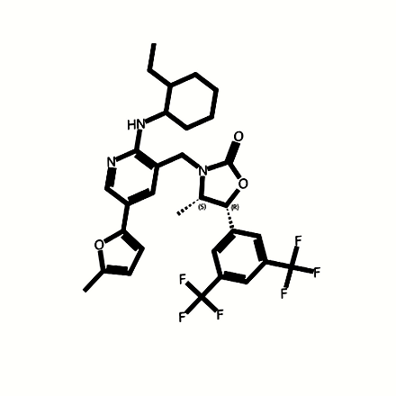 CCC1CCCCC1Nc1ncc(-c2ccc(C)o2)cc1CN1C(=O)O[C@H](c2cc(C(F)(F)F)cc(C(F)(F)F)c2)[C@@H]1C